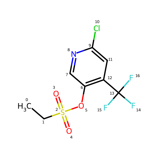 CCS(=O)(=O)Oc1cnc(Cl)cc1C(F)(F)F